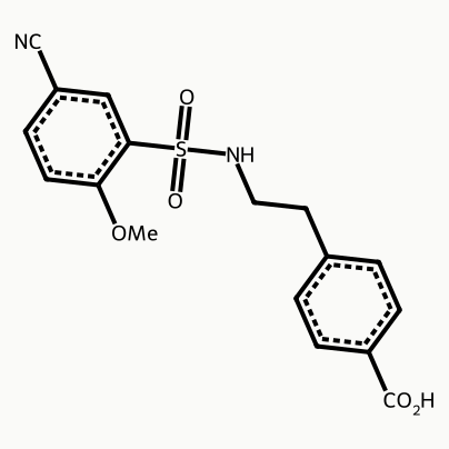 COc1ccc(C#N)cc1S(=O)(=O)NCCc1ccc(C(=O)O)cc1